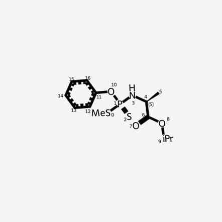 CSP(=S)(N[C@@H](C)C(=O)OC(C)C)Oc1ccccc1